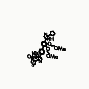 COCCOc1c(-c2ccc(-c3cnc(C4CSCN4C(=O)OC(C)(C)C)[nH]3)cc2)ccc(-c2cnc(C3CCCC3)[nH]2)c1OCCOC